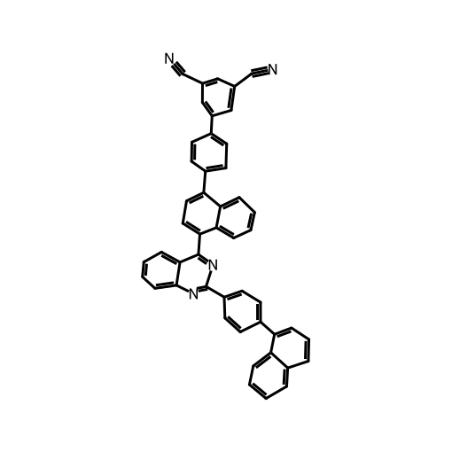 N#Cc1cc(C#N)cc(-c2ccc(-c3ccc(-c4nc(-c5ccc(-c6cccc7ccccc67)cc5)nc5ccccc45)c4ccccc34)cc2)c1